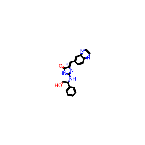 O=C1NC(NC(CO)c2ccccc2)=N/C1=C\c1ccc2nccnc2c1